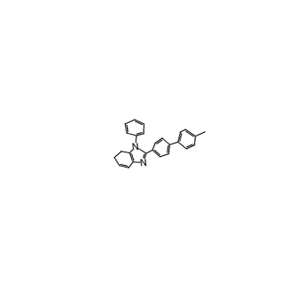 Cc1ccc(-c2ccc(-c3nc4c(n3-c3ccccc3)CCC=C4)cc2)cc1